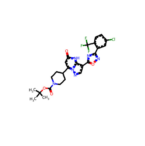 CC(C)(C)OC(=O)N1CCC(c2cc(=O)[nH]c3c(-c4nc(-c5cc(Cl)ccc5C(F)(F)F)no4)cnn23)CC1